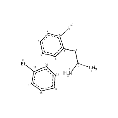 CC(N)Cc1ccccc1I.CCc1ccccc1